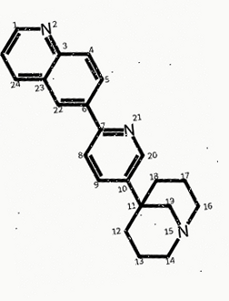 c1cnc2ccc(-c3ccc(C45CCCN(CCC4)C5)cn3)cc2c1